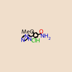 COc1cc(C(N)=O)ccc1-c1cn2ccncc2n1.Cl